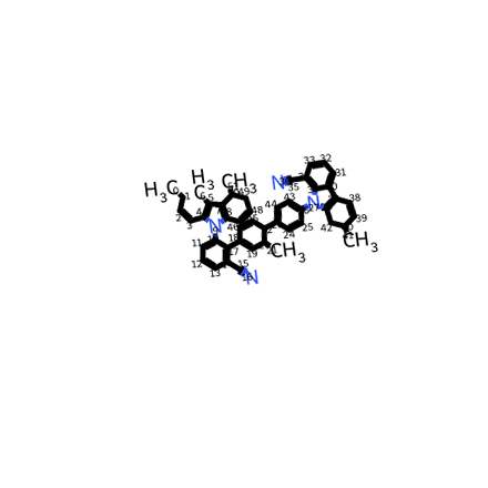 CC/C=C\c1c(C)c2c(n1-c1cccc(C#N)c1C1=CC(C)C(c3ccc(-n4c5c(c6cccc(C#N)c64)C=CC(C)C5)cc3)C=C1)C=CCC2C